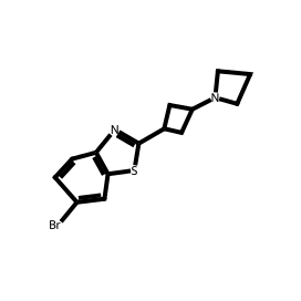 Brc1ccc2nc(C3CC(N4CCC4)C3)sc2c1